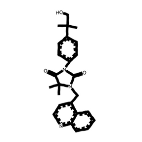 CC(C)(CO)c1ccc(N2C(=O)N(Cc3ccnc4ccccc34)C(C)(C)C2=O)cc1